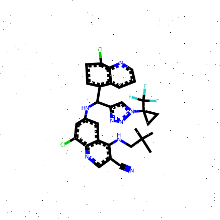 CC(C)(C)CNc1c(C#N)cnc2c(Cl)cc(NC(c3cn(C4(C(F)(F)F)CC4)nn3)c3ccc(Cl)c4ncccc34)cc12